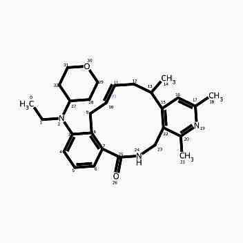 CCN(c1cccc2c1C/C=C/CC(C)c1cc(C)nc(C)c1CNC2=O)C1CCOCC1